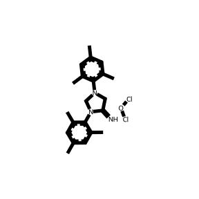 Cc1cc(C)c(N2CC(=N)N(c3c(C)cc(C)cc3C)C2)c(C)c1.ClOCl